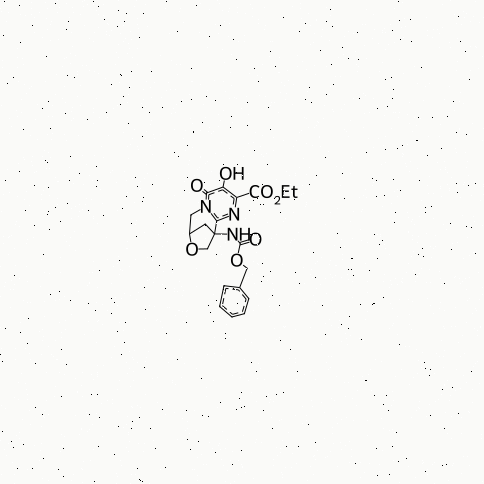 CCOC(=O)c1nc2n(c(=O)c1O)CC1CC2(NC(=O)OCc2ccccc2)CO1